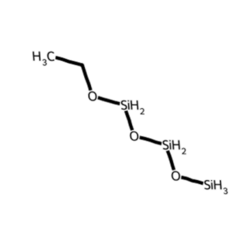 CCO[SiH2]O[SiH2]O[SiH3]